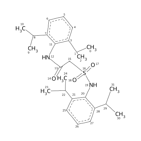 CC(C)c1cccc(C(C)C)c1NC(=O)CS(=O)(=O)Nc1c(C(C)C)cccc1C(C)C